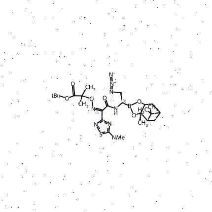 CNc1nc(/C(=N/OC(C)(C)C(=O)OC(C)(C)C)C(=O)N[C@@H](CN=[N+]=[N-])B2OC3CC4CC(C4(C)C)[C@]3(C)O2)ns1